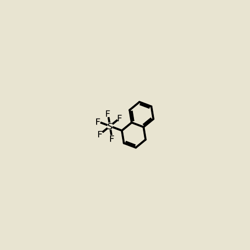 FS(F)(F)(F)(F)C1C=CCc2ccccc21